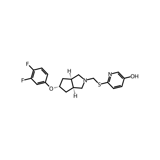 Oc1ccc(SCN2C[C@H]3C[C@H](Oc4ccc(F)c(F)c4)C[C@H]3C2)nc1